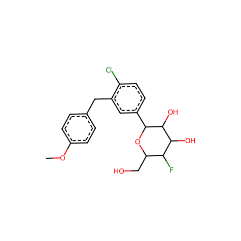 COc1ccc(Cc2cc(C3OC(CO)C(F)C(O)C3O)ccc2Cl)cc1